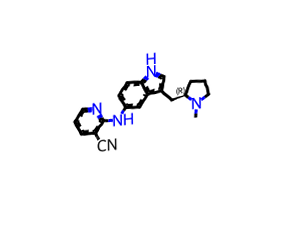 CN1CCC[C@@H]1Cc1c[nH]c2ccc(Nc3ncccc3C#N)cc12